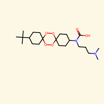 CN(C)CCCN(C(=O)O)C1CCC2(CC1)OOC1(CCC(C(C)(C)C)CC1)OO2